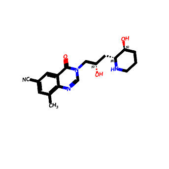 Cc1cc(C#N)cc2c(=O)n(C[C@@H](O)C[C@H]3NCCC[C@@H]3O)cnc12